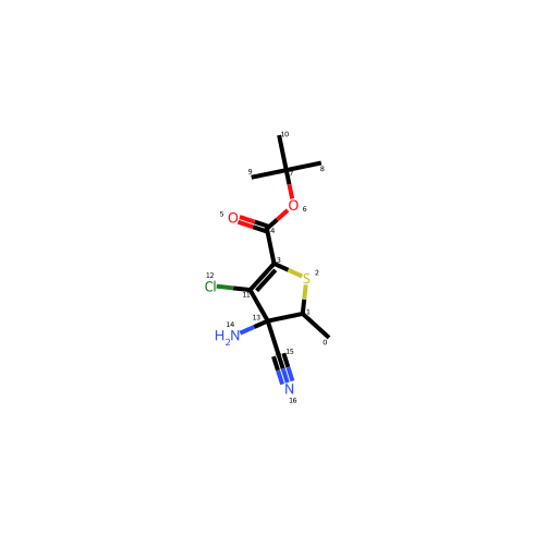 CC1SC(C(=O)OC(C)(C)C)=C(Cl)C1(N)C#N